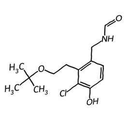 CC(C)(C)OCCc1c(CNC=O)ccc(O)c1Cl